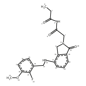 CCC(=O)NC(=O)CN1Cc2c(NCc3cccc(OC)c3F)cccc2C1=O